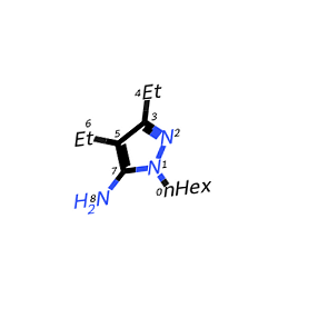 CCCCCCn1nc(CC)c(CC)c1N